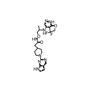 CC(CONC(=O)CC1CCN(c2ncc3cc[nH]c3n2)CC1)Nc1cn[nH]c(=O)c1C(F)(F)F